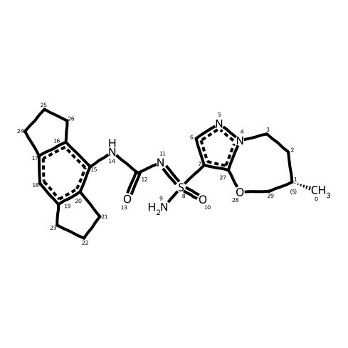 C[C@H]1CCn2ncc(S(N)(=O)=NC(=O)Nc3c4c(cc5c3CCC5)CCC4)c2OC1